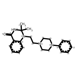 CC1(C)NC(=O)c2ccccc2N1CCN1CCN(c2ccccc2)CC1